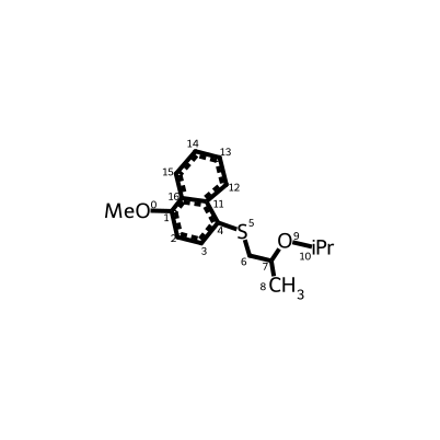 COc1ccc(SCC(C)OC(C)C)c2ccccc12